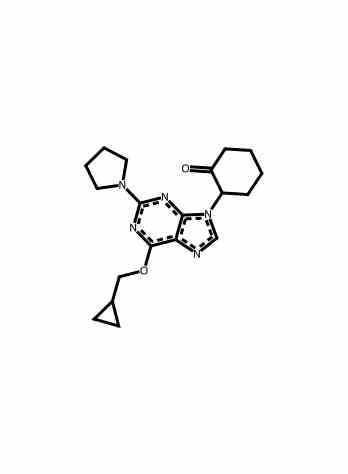 O=C1CCCCC1n1cnc2c(OCC3CC3)nc(N3CCCC3)nc21